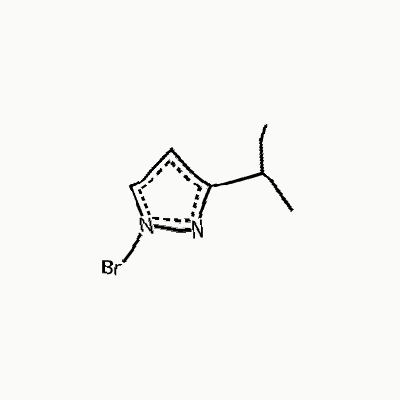 CC(C)c1ccn(Br)n1